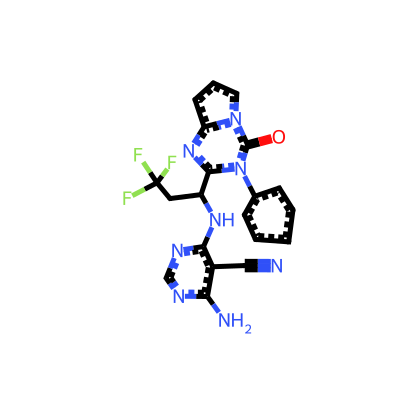 N#Cc1c(N)ncnc1NC(CC(F)(F)F)c1nc2cccn2c(=O)n1-c1ccccc1